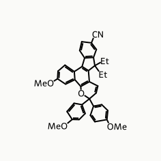 CCC1(CC)c2cc(C#N)ccc2-c2c1c1c(c3cc(OC)ccc23)OC(c2ccc(OC)cc2)(c2ccc(OC)cc2)C=C1